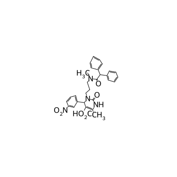 CC1=C(C(=O)O)C(c2cccc([N+](=O)[O-])c2)N(CCCN(C)C(=O)C(c2ccccc2)c2ccccc2)C(=O)N1